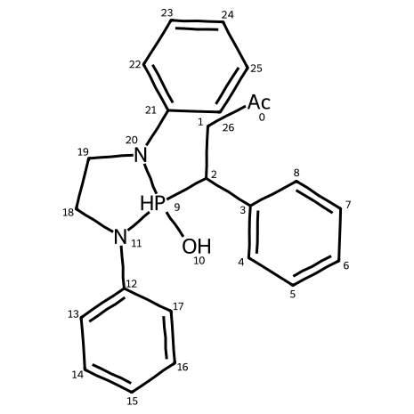 CC(=O)CC(c1ccccc1)[PH]1(O)N(c2ccccc2)CCN1c1ccccc1